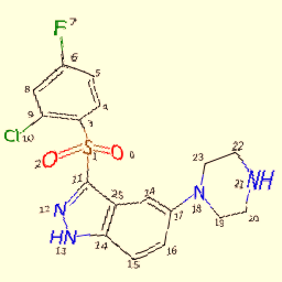 O=S(=O)(c1ccc(F)cc1Cl)c1n[nH]c2ccc(N3CCNCC3)cc12